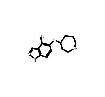 FC(F)(F)c1c(OC2CCCNCC2)ccc2[nH]ncc12